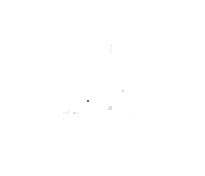 C=CC.[HH].[HH].[SiH4]